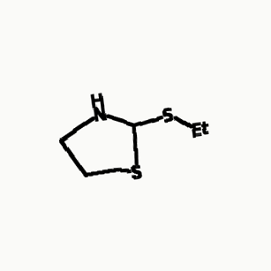 [CH2]CSC1NCCS1